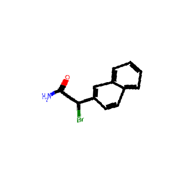 NC(=O)C(Br)c1ccc2ccccc2c1